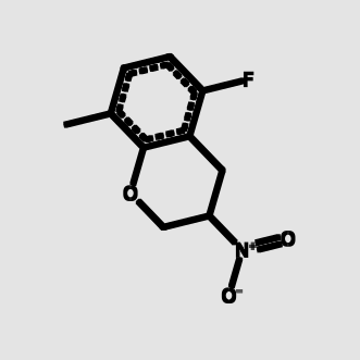 Cc1ccc(F)c2c1OCC([N+](=O)[O-])C2